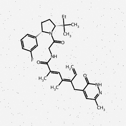 C=C/C(Cc1cc(C)n[nH]c1=O)=C(C)\C=C(/C)C(=O)NCC(=O)N1[C@H](c2cccc(F)c2)CC[C@@H]1C(C)(C)CC